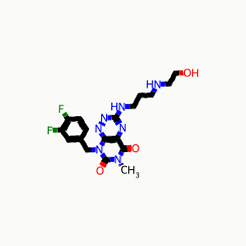 Cn1c(=O)c2nc(NCCCNCCO)nnc2n(Cc2ccc(F)c(F)c2)c1=O